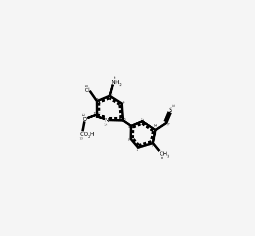 Cc1ccc(-c2cc(N)c(Cl)c(OC(=O)O)n2)cc1C=S